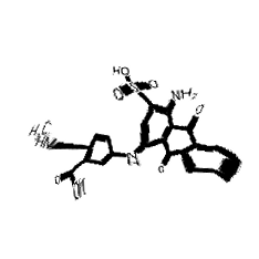 CNc1ccc(Nc2cc(S(=O)(=O)O)c(N)c3c2C(=O)c2ccccc2C3=O)cc1C(=O)O